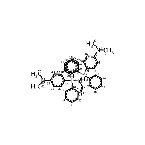 CN(C)c1ccc([PH](c2ccccc2)(c2ccccc2)[Ir]([CH]=O)[PH](c2ccccc2)(c2ccccc2)c2ccc(N(C)C)cc2)cc1